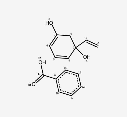 C=CC1(O)C=CC=C(O)C1.O=C(O)c1ccccc1